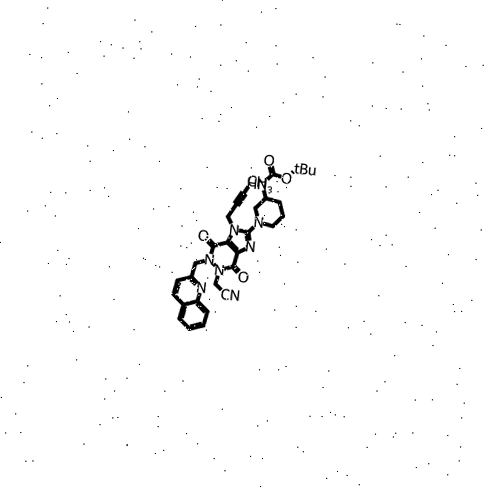 CC#CCn1c(N2CCCC(NC(=O)OC(C)(C)C)C2)nc2c(=O)n(CC#N)n(Cc3ccc4ccccc4n3)c(=O)c21